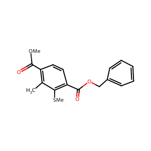 COC(=O)c1ccc(C(=O)OCc2ccccc2)c(SC)c1C